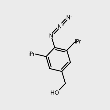 CC(C)c1cc(CO)cc(C(C)C)c1N=[N+]=[N-]